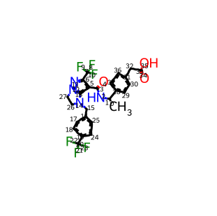 CC(NC(=O)c1c(C(F)(F)F)nn2c1N(Cc1ccc(C(F)(F)F)cc1)CC2)c1ccc(CC(=O)O)cc1